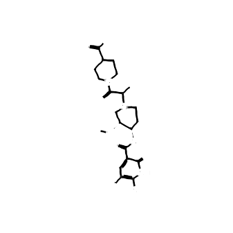 CO[C@H]1CN(C(C)C(=O)N2CCC(C(=O)O)CC2)CC[C@H]1NC(=O)c1cc(Cl)c(N)[nH]c1=O